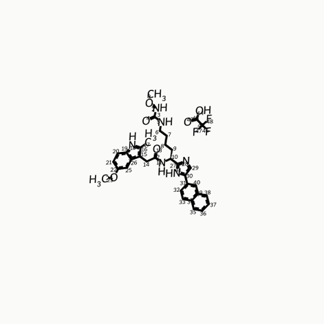 CONC(=O)NCCCC[C@H](NC(=O)Cc1c(C)[nH]c2ccc(OC)cc12)c1ncc(-c2ccc3ccccc3c2)[nH]1.O=C(O)C(F)(F)F